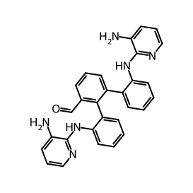 Nc1cccnc1Nc1ccccc1-c1cccc(C=O)c1-c1ccccc1Nc1ncccc1N